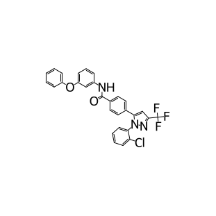 O=C(Nc1cccc(Oc2ccccc2)c1)c1ccc(-c2cc(C(F)(F)F)nn2-c2ccccc2Cl)cc1